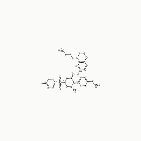 COCCCN1CCOc2ccc(CO[C@@H]3CN(S(=O)(=O)c4ccc(C)cc4)C[C@@H](O)[C@@H]3c3ccc(COC)cc3)cc21